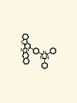 c1ccc(-c2nc(-c3ccccc3)nc(-c3ccc(-c4cc5c6ccccc6sc5c5nc6cc7ccccc7cc6n45)cc3)n2)cc1